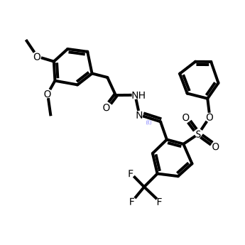 COc1ccc(CC(=O)N/N=C/c2cc(C(F)(F)F)ccc2S(=O)(=O)Oc2ccccc2)cc1OC